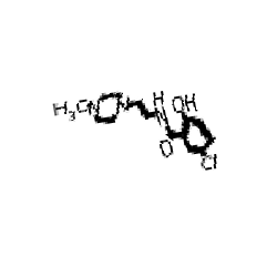 CN1CCN(CCNC(=O)c2cc(Cl)ccc2O)CC1